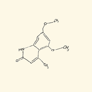 COc1cc(OC)c2c(C)cc(=O)[nH]c2c1